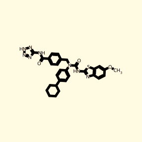 COc1ccc2nc(NC(=O)N(Cc3ccc(C(=O)Nc4nn[nH]n4)cc3)c3ccc(C4CCCCC4)cc3)sc2c1